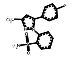 NS(=O)(=O)c1ccccc1-n1nc(C(Cl)(Cl)Cl)cc1-c1ccc(F)cc1